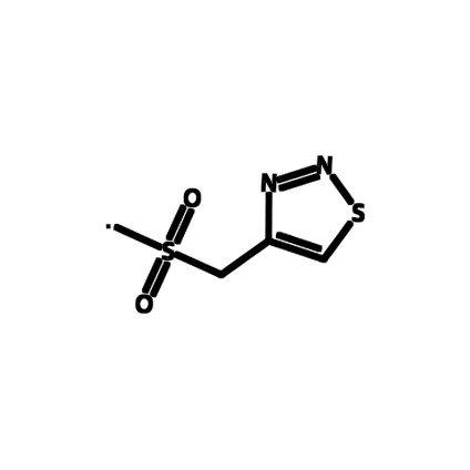 [CH2]S(=O)(=O)Cc1csnn1